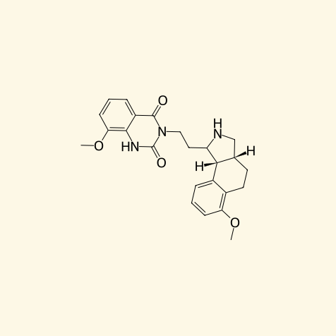 COc1cccc2c1CC[C@H]1CNC(CCn3c(=O)[nH]c4c(OC)cccc4c3=O)[C@@H]21